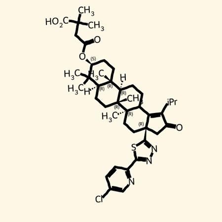 CC(C)C1=C2C3CC[C@@H]4[C@@]5(C)CC[C@H](OC(=O)CC(C)(C)C(=O)O)C(C)(C)[C@@H]5CC[C@@]4(C)[C@]3(C)CC[C@@]2(c2nnc(-c3ccc(Cl)cn3)s2)CC1=O